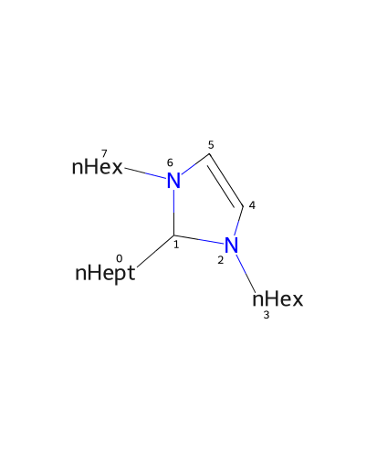 CCCCCCCC1N(CCCCCC)C=CN1CCCCCC